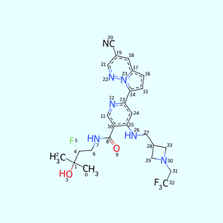 CC(C)(O)[C@H](F)CNC(=O)c1cnc(-c2ccc3cc(C#N)cnn23)cc1NCC1CN(CC(F)(F)F)C1